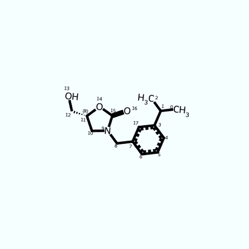 CC(C)c1cccc(CN2C[C@H](CO)OC2=O)c1